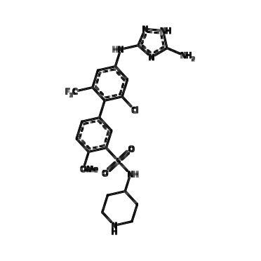 COc1ccc(-c2c(Cl)cc(Nc3n[nH]c(N)n3)cc2C(F)(F)F)cc1S(=O)(=O)NC1CCNCC1